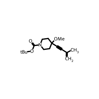 C=C(C)C#CC1(OC)CCN(C(=O)OC(C)(C)C)CC1